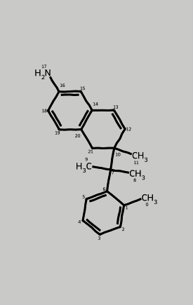 Cc1ccccc1C(C)(C)C1(C)C=Cc2cc(N)ccc2C1